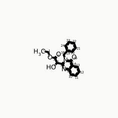 CCOC(=O)C(O)c1nc2ccccc2c(=O)n1Cc1ccccc1